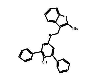 CCCCc1oc2ccccc2c1CNc1cc(-c2ccccc2)c(O)c(-c2ccccc2)c1